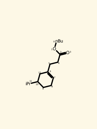 CCCCOC(=O)CCC1=CCCC(C(C)C)C1